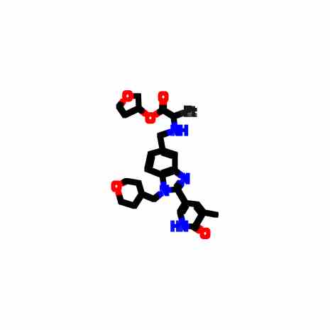 CCC(NCc1ccc2c(c1)nc(-c1c[nH]c(=O)c(C)c1)n2CC1CCOCC1)C(=O)OC1CCOC1